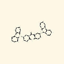 O=c1c2cc(-n3c4ccccc4c4ccccc43)ccc2sc2ccc(-n3c4ccccc4c4ccccc43)cc12